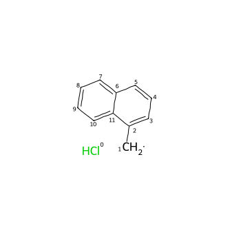 Cl.[CH2]c1cccc2ccccc12